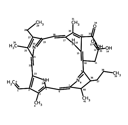 C=Cc1c(C)c2cc3nc(c(CC(=O)O)c4[nH]c(cc5nc(cc1[nH]2)C(C)=C5CC)c(C)c4C(=O)O)C(CCC)C3C